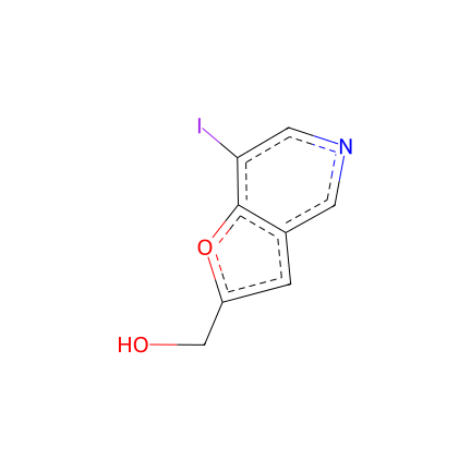 OCc1cc2cncc(I)c2o1